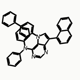 c1ccc(-c2ccc(-n3cc(-c4cccc5ccccc45)c4ncnc(N(c5ccccc5)c5ccccc5)c43)cc2)cc1